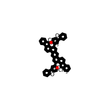 CC1(C)c2ccccc2-c2ccc3c(c(-c4ccc5oc6ccccc6c5c4)cc4cc5c(cc(-c6ccc7oc8ccccc8c7c6)c6c7c(ccc65)-c5ccccc5C7(C)C)cc43)c21